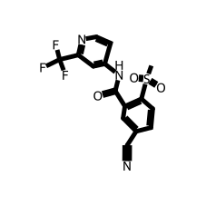 CS(=O)(=O)c1ccc(C#N)cc1C(=O)Nc1ccnc(C(F)(F)F)c1